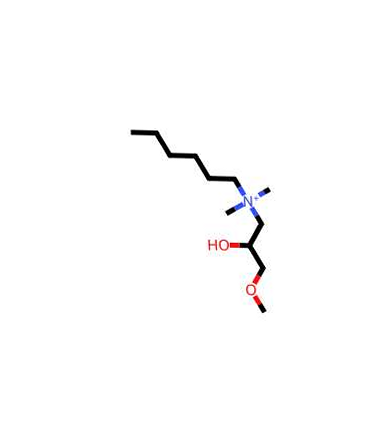 CCCCCC[N+](C)(C)CC(O)COC